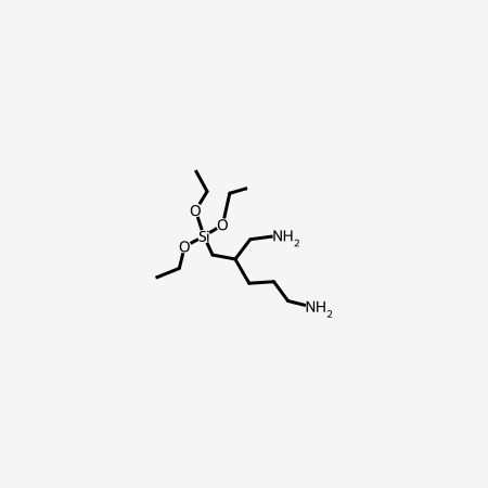 CCO[Si](CC(CN)CCCN)(OCC)OCC